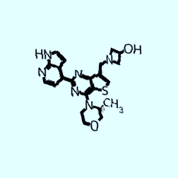 C[C@@H]1COCCN1c1nc(-c2ccnc3[nH]ccc23)nc2c(CN3CC(O)C3)csc12